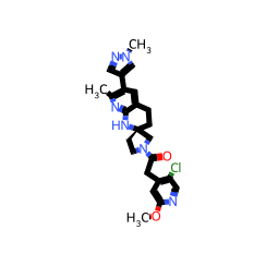 COc1cc(CC(=O)N2CC[C@@]3(CCc4cc(-c5cnn(C)c5)c(C)nc4N3)C2)c(Cl)cn1